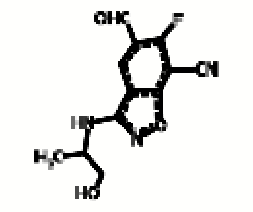 CC(CO)Nc1noc2c(C#N)c(F)c(C=O)cc12